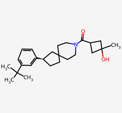 CC1(O)CC(C(=O)N2CCC3(CC[C@@H](c4cccc(C(C)(C)C)c4)C3)CC2)C1